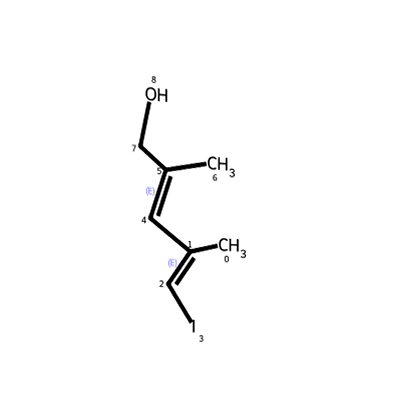 CC(=C\I)/C=C(\C)CO